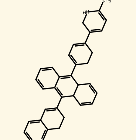 CC1=CC=C(C2=CC=C(C3=c4ccccc4=C(C4=Cc5ccccc5CC4)C4C=CC=CC34)CC2)CN1